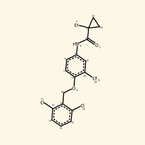 CCC1(C(=O)Nc2ccc(OCc3c(Cl)cccc3Cl)c(C(F)(F)F)c2)CC1